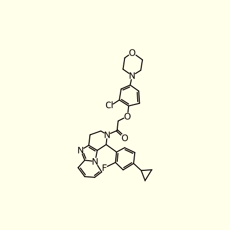 O=C(COc1ccc(N2CCOCC2)cc1Cl)N1CCc2nc3ccccn3c2C1c1ccc(C2CC2)cc1F